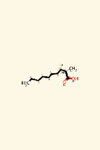 CCCCCCC[C@@H](F)[C@H](C)C(=O)O